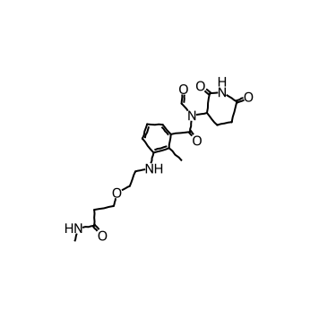 CNC(=O)CCOCCNc1cccc(C(=O)N(C=O)C2CCC(=O)NC2=O)c1C